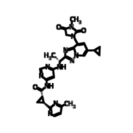 Cc1ccnc([C@H]2C[C@@H]2C(=O)Nc2cc(N[C@H](C)c3nc4c(N5CC(=O)N(C)C5=O)cc(C5CC5)cn4n3)ncn2)n1